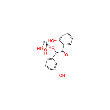 CCO.CCO.O=C(c1ccccc1O)C(O)c1cccc(O)c1